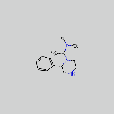 CCN(CC)C(C)N1CCNCC1c1ccccc1